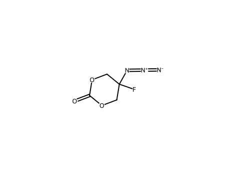 [N-]=[N+]=NC1(F)COC(=O)OC1